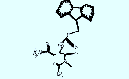 CN(C(N)=O)C(=O)[C@H](CC(N)=O)NC(=O)OCC1c2ccccc2-c2ccccc21